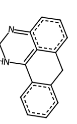 c1ccc2c(c1)Cc1cccc3c1=C2NCN=3